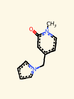 Cn1ccc(Cn2cccc2)cc1=O